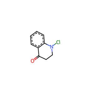 O=C1CCN(Cl)c2ccccc21